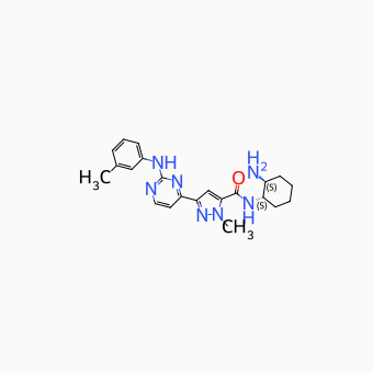 Cc1cccc(Nc2nccc(-c3cc(C(=O)N[C@H]4CCCC[C@@H]4N)n(C)n3)n2)c1